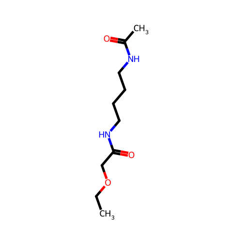 CCOCC(=O)NCCCCNC(C)=O